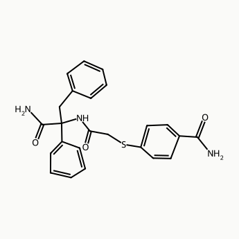 NC(=O)c1ccc(SCC(=O)NC(Cc2ccccc2)(C(N)=O)c2ccccc2)cc1